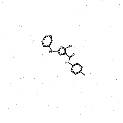 Cc1ccc(NC(=O)n2nc(Nc3cccnc3)nc2N)cc1